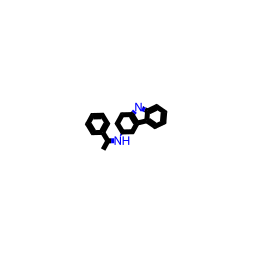 CC(N[C@@H]1CCC2=C(C1)c1ccccc1[N]2)c1ccccc1